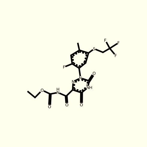 CCOC(=O)NC(=O)c1nn(-c2cc(SCC(F)(F)F)c(C)cc2F)c(=O)[nH]c1=O